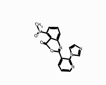 C[S+]([O-])c1cccc2nc(-c3cccnc3-n3ccnc3)oc(=O)c12